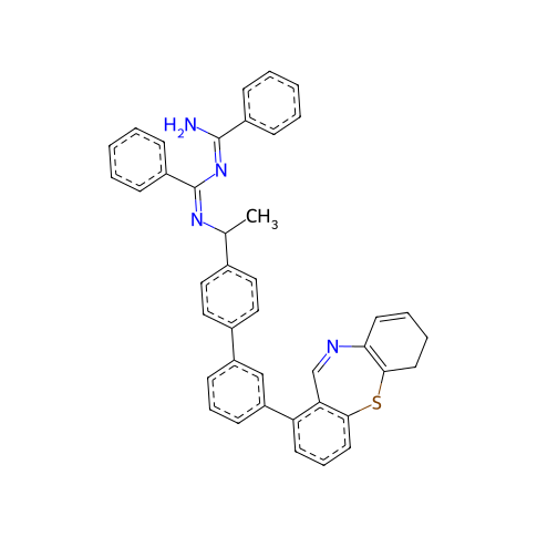 CC(/N=C(\N=C(/N)c1ccccc1)c1ccccc1)c1ccc(-c2cccc(-c3cccc4c3C=NC3=C(CCC=C3)S4)c2)cc1